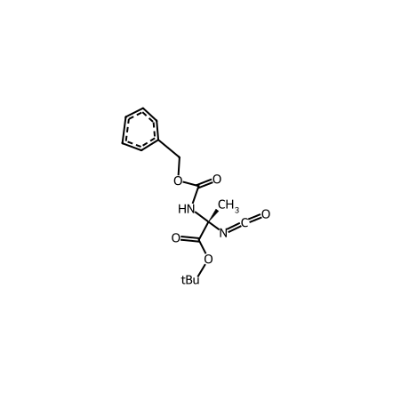 CC(C)(C)OC(=O)[C@@](C)(N=C=O)NC(=O)OCc1ccccc1